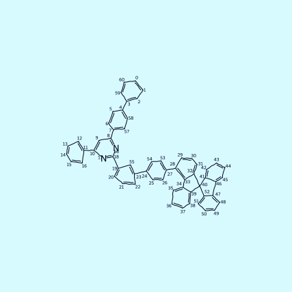 c1ccc(-c2ccc(-c3cc(-c4ccccc4)nc(-c4cccc(-c5ccc(-c6cccc7c6-c6ccccc6C76c7ccccc7-c7ccccc76)cc5)c4)n3)cc2)cc1